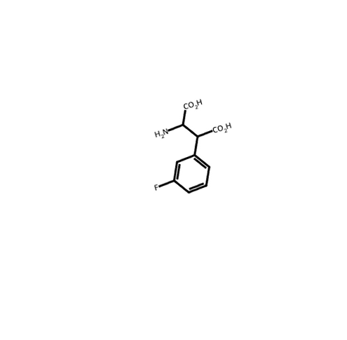 NC(C(=O)O)C(C(=O)O)c1cccc(F)c1